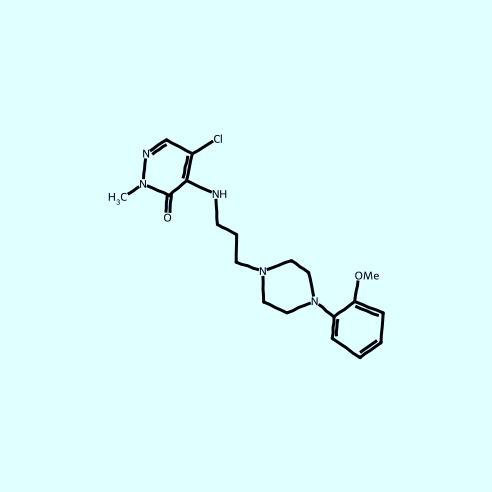 COc1ccccc1N1CCN(CCCNc2c(Cl)cnn(C)c2=O)CC1